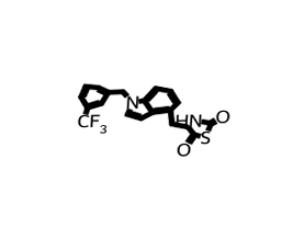 O=C1NC(Cc2cccc3c2ccn3Cc2cccc(C(F)(F)F)c2)C(=O)S1